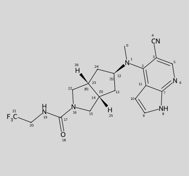 CN(c1c(C#N)cnc2[nH]ccc12)[C@H]1C[C@@H]2CN(C(=O)NCC(F)(F)F)C[C@@H]2C1